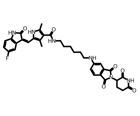 Cc1[nH]c(C=C2C(=O)Nc3ccc(F)cc32)c(C)c1C(=O)NCCCCCCNc1ccc2c(c1)C(=O)N(C1CCC(=O)NC1=O)C2=O